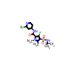 Cc1c(S(=O)(=O)N[C@H](C)C(F)(F)F)c(F)c(C(=O)Nc2ccnc(Br)c2)n1C